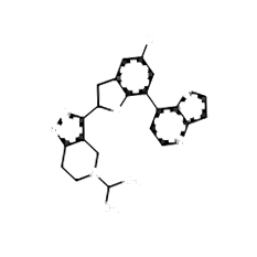 CC(C)N1CCc2noc(C3Cc4cc(Cl)cc(-c5ccnc6ccsc56)c4O3)c2C1